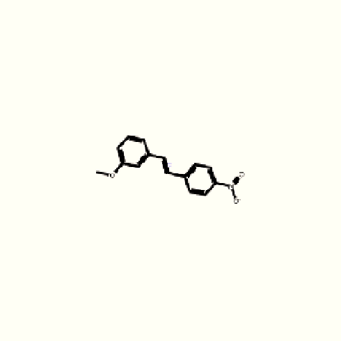 COc1cccc(/C=C/c2ccc([N+](=O)[O-])cc2)c1